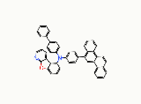 c1ccc(-c2ccc(N(c3ccc(-c4cc5c6ccccc6ccc5c5ccccc45)cc3)c3cccc4oc5ncccc5c34)cc2)cc1